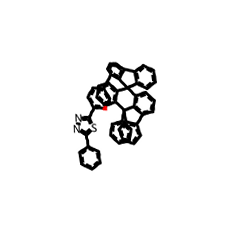 c1ccc(-c2nnc(-c3ccc(-c4cccc5c4C4(c6ccccc6-5)c5ccccc5C5(c6ccccc6)c6ccccc6-c6cccc4c65)cc3)s2)cc1